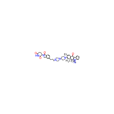 CCc1cc2c(cc1N1CCC(N3CCN(CCCc4ccc5c(c4)CN(C4CCC(=O)NC4=O)C5=O)CC3)CC1)C(C)(C)c1[nH]c3ccccc3c1C2=O